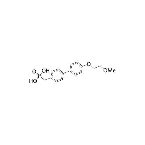 COCCOc1ccc(-c2ccc(CP(=O)(O)O)cc2)cc1